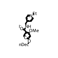 CCCCCCCCCCOc1ccc(C(=O)NCc2cc[n+](CC)cc2)c(OC)c1.[I-]